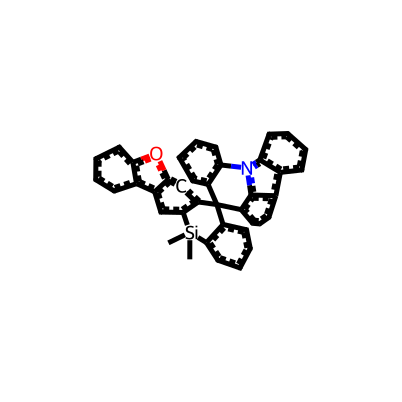 C[Si]1(C)c2ccccc2C2(c3ccccc3-n3c4ccccc4c4cccc2c43)c2cc3oc4ccccc4c3cc21